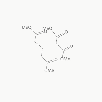 COC(=O)CC(=O)OC.COC(=O)CCCC(=O)OC